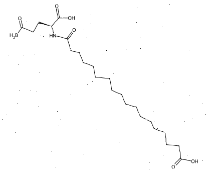 BC(=O)CC[C@H](NC(=O)CCCCCCCCCCCCCCCCC(=O)O)C(=O)O